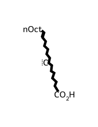 CCCCCCCCC=CCCCCCCCCCCCCCC(=O)O.[C]